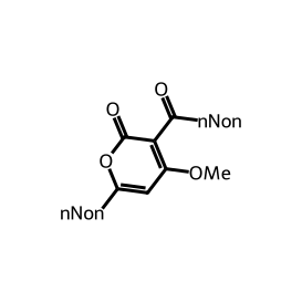 CCCCCCCCCC(=O)c1c(OC)cc(CCCCCCCCC)oc1=O